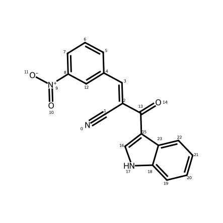 N#CC(=Cc1cccc([N+](=O)[O-])c1)C(=O)c1c[nH]c2ccccc12